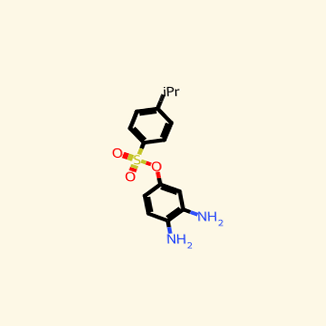 CC(C)c1ccc(S(=O)(=O)Oc2ccc(N)c(N)c2)cc1